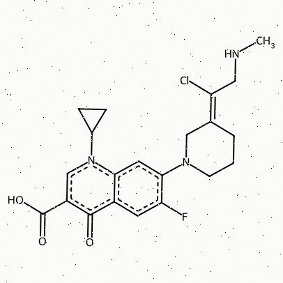 CNCC(Cl)=C1CCCN(c2cc3c(cc2F)c(=O)c(C(=O)O)cn3C2CC2)C1